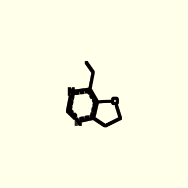 CCc1ncnc2c1OCC2